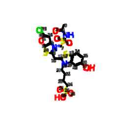 CC(=O)NS(=O)(=O)C[n+]1c(C=C2Sc3ccc(O)cc3N2CCCCS(=O)(=O)O)sc2oc(Cl)cc21